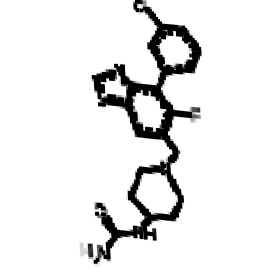 NC(=O)NC1CCN(Cc2cc3scnc3c(-c3cccc(Cl)c3)c2F)CC1